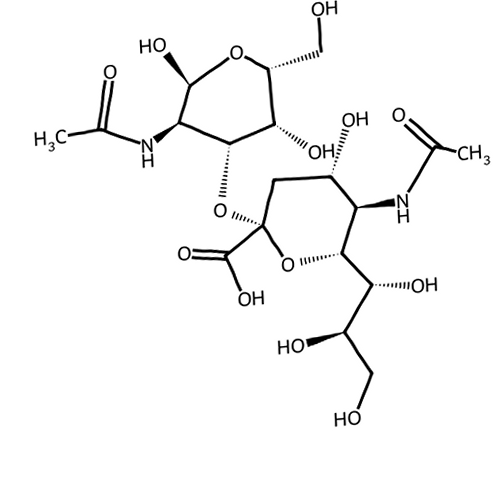 CC(=O)N[C@@H]1[C@@H](O[C@]2(C(=O)O)C[C@H](O)[C@@H](NC(C)=O)[C@H]([C@H](O)[C@H](O)CO)O2)[C@@H](O)[C@@H](CO)O[C@@H]1O